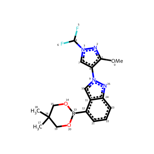 COc1nn(C(F)F)cc1-n1cc2c(B3OCC(C)(C)CO3)cccc2n1